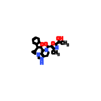 Cc1nc([C@H](C)O)oc1C(=O)N1CCc2[nH]cnc2[C@H]1c1oc2ccccc2c1C1CC1